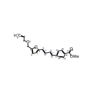 C=CCOCc1ccc(/C=C/C=C/c2ccc(C(=O)OC)cc2)o1